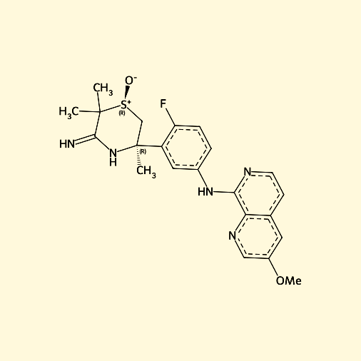 COc1cnc2c(Nc3ccc(F)c([C@]4(C)C[S@+]([O-])C(C)(C)C(=N)N4)c3)nccc2c1